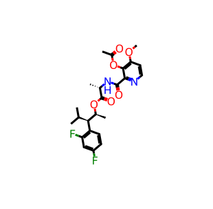 COc1ccnc(C(=O)N[C@@H](C)C(=O)O[C@@H](C)[C@@H](c2ccc(F)cc2F)C(C)C)c1OC(C)=O